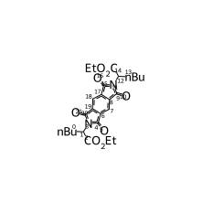 CCCCC(C(=O)OCC)n1c(=O)c2cc3c(=O)n(C(CCCC)C(=O)OCC)c(=O)c3cc2c1=O